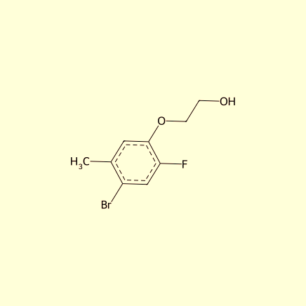 Cc1cc(OCCO)c(F)cc1Br